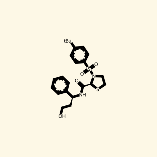 CC(C)(C)c1ccc(S(=O)(=O)N2CCS[C@H]2C(=O)N[C@@H](CCO)c2ccccc2)cc1